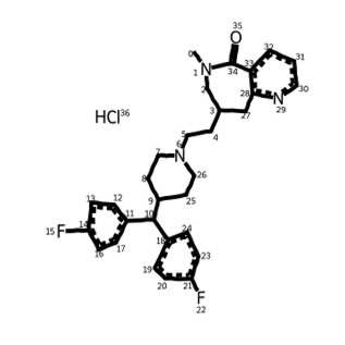 CN1CC(CCN2CCC(C(c3ccc(F)cc3)c3ccc(F)cc3)CC2)Cc2ncccc2C1=O.Cl